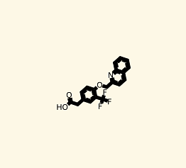 O=C(O)Cc1ccc(OCc2ccc3ccccc3n2)c(C(F)(F)F)c1